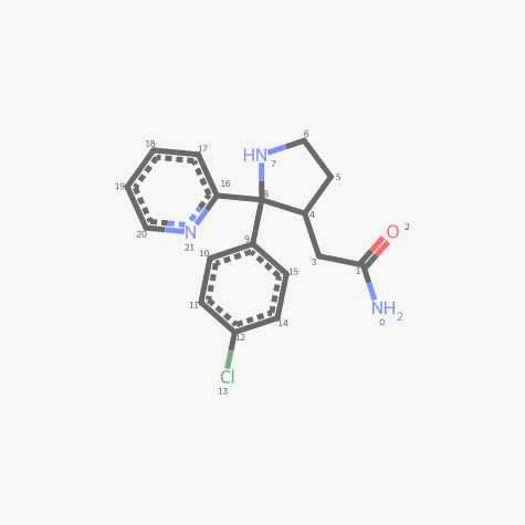 NC(=O)CC1CCNC1(c1ccc(Cl)cc1)c1ccccn1